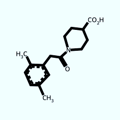 Cc1ccc(C)c(CC(=O)N2CCC(C(=O)O)CC2)c1